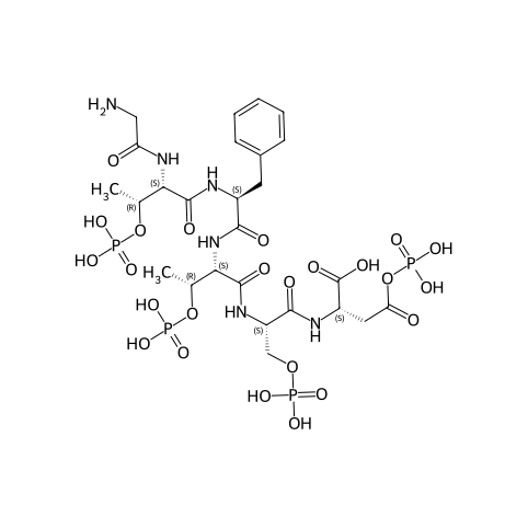 C[C@@H](OP(=O)(O)O)[C@H](NC(=O)CN)C(=O)N[C@@H](Cc1ccccc1)C(=O)N[C@H](C(=O)N[C@@H](COP(=O)(O)O)C(=O)N[C@@H](CC(=O)OP(=O)(O)O)C(=O)O)[C@@H](C)OP(=O)(O)O